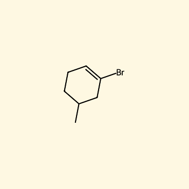 CC1CCC=C(Br)C1